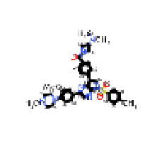 COc1cc(-c2cnc3c(n2)c(-c2ccc(C(=O)N4CC(N(C)C)C4)cc2)cn3S(=O)(=O)c2ccc(C)cc2)ccc1N1CCN(C)CC1